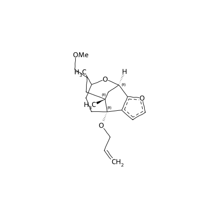 C=CCO[C@]12CCC(C)O[C@H](C[C@@]1(C)CCCOC)c1occc12